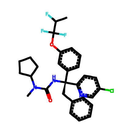 CC(F)C(F)(F)Oc1cccc([C@@](Cc2ccccc2)(NC(=O)N(C)C2CCCC2)c2ccc(Cl)cn2)c1